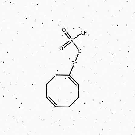 O=S(=O)([O][Rh][C]1=CCCC=CCC1)C(F)(F)F